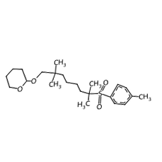 Cc1ccc(S(=O)(=O)C(C)(C)CCCCC(C)(C)COC2CCCCO2)cc1